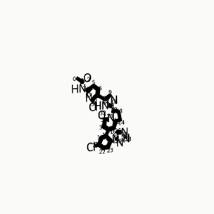 CC(=O)Nc1ccc(-c2cnc([C@@H]3CCc4cc(-c5cc(Cl)ccc5-n5cnnn5)cc(=O)n43)[nH]2)c(Cl)n1